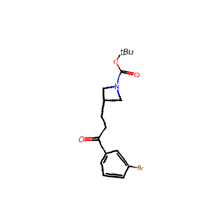 CC(C)(C)OC(=O)N1CC(CCC(=O)c2cccc(Br)c2)C1